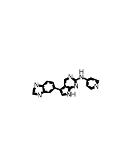 c1cc(Nc2ncc3c(-c4ccc5nccnc5c4)c[nH]c3n2)ccn1